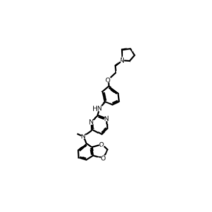 CN(c1ccnc(Nc2cccc(OCCN3CCCC3)c2)n1)c1cccc2c1OCO2